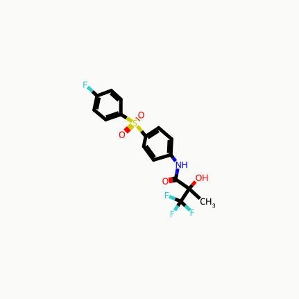 CC(O)(C(=O)Nc1ccc(S(=O)(=O)c2ccc(F)cc2)cc1)C(F)(F)F